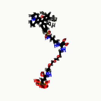 C=c1c(CCCC)cc2c(c1CCCC)Oc1c(cc3c4c1CCCN4CCC3)C=2c1ccc(S(=O)(=O)NCCCCCNc2c(NCCOCCOCCOCCNC(=O)CCC(P(=O)(O)O)P(=O)(O)O)c(=O)c2=O)cc1S(=O)(=O)O